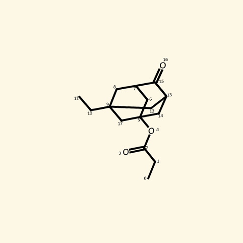 CCC(=O)OC12CC3CC(CC)(CC(C1)C3=O)C2